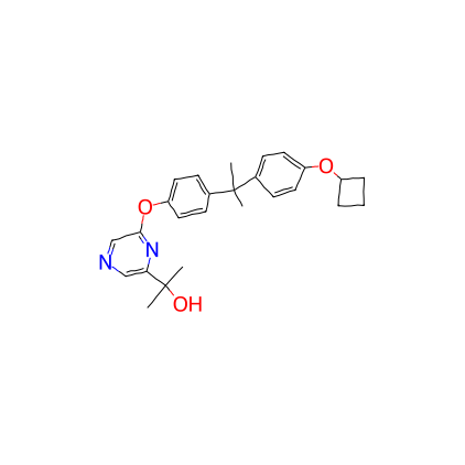 CC(C)(O)c1cncc(Oc2ccc(C(C)(C)c3ccc(OC4CCC4)cc3)cc2)n1